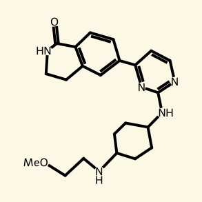 COCCNC1CCC(Nc2nccc(-c3ccc4c(c3)CCNC4=O)n2)CC1